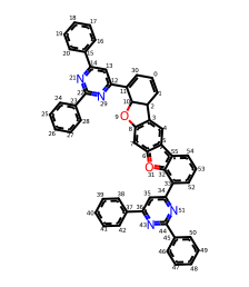 C1=CC2c3cc4c(cc3OC2C(c2cc(-c3ccccc3)nc(-c3ccccc3)n2)=C1)oc1c(-c2cc(-c3ccccc3)nc(-c3ccccc3)n2)cccc14